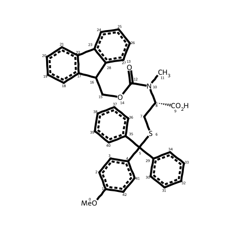 COc1ccc(C(SC[C@@H](C(=O)O)N(C)C(=O)OCC2c3ccccc3-c3ccccc32)(c2ccccc2)c2ccccc2)cc1